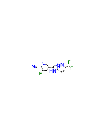 N#Cc1ncc(-c2cnc(/C=C\C(=N)C(F)F)[nH]2)cc1F